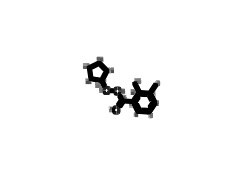 Cc1cccc(C(=O)OO[C]2CCCC2)c1C